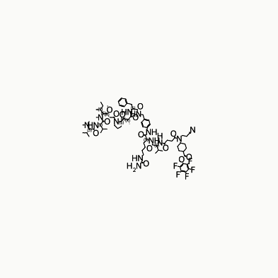 CC[C@H](C)[C@@H]([C@@H](CC(=O)N1CCC[C@H]1[C@H](OC)[C@@H](C)C(=O)N[C@@H](Cc1ccccc1)C(=O)NCc1ccc(NC(=O)[C@H](CCCCNC(N)=O)NC(=O)[C@@H](NC(=O)CCC(=O)N(CCC#N)C2CCC(C(=O)Oc3c(F)c(F)c(F)c(F)c3F)CC2)C(C)C)cc1)OC)N(C)C(=O)[C@@H](NC(=O)[C@H](C(C)C)N(C)C)C(C)C